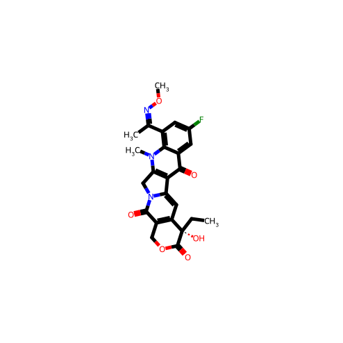 CC[C@@]1(O)C(=O)OCc2c1cc1n(c2=O)Cc2c-1c(=O)c1cc(F)cc(/C(C)=N\OC)c1n2C